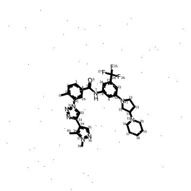 Cc1ccc(C(=O)Nc2cc(N3CCC(N4CCCCC4)C3)cc(C(F)(F)F)c2)cc1-n1cc(-c2cnn(C)c2C)nn1